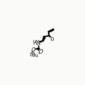 C=CC(=O)CCNC(=O)OC(C)(C)C